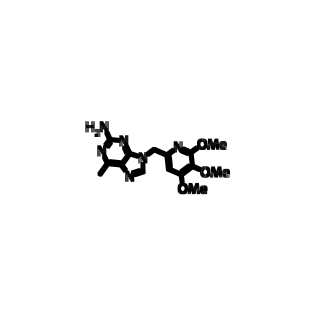 COc1cc(Cn2cnc3c(C)nc(N)nc32)nc(OC)c1OC